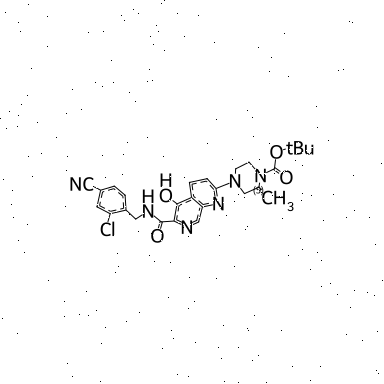 C[C@H]1CN(c2ccc3c(O)c(C(=O)NCc4ccc(C#N)cc4Cl)ncc3n2)CCN1C(=O)OC(C)(C)C